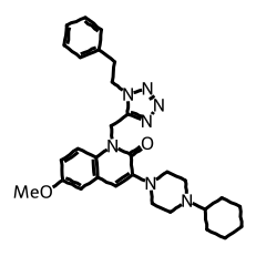 COc1ccc2c(c1)cc(N1CCN(C3CCCCC3)CC1)c(=O)n2Cc1nnnn1CCc1ccccc1